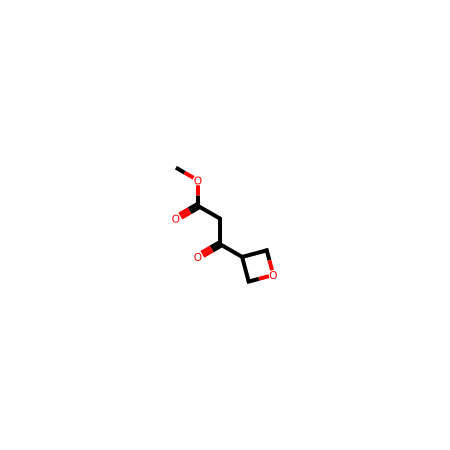 COC(=O)CC(=O)C1COC1